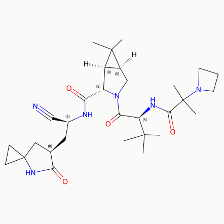 CC(C)(C)[C@H](NC(=O)C(C)(C)N1CCC1)C(=O)N1C[C@H]2[C@@H]([C@H]1C(=O)N[C@H](C#N)C[C@@H]1CC3(CC3)NC1=O)C2(C)C